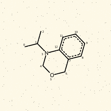 CC(C)N1COCc2ccccc21